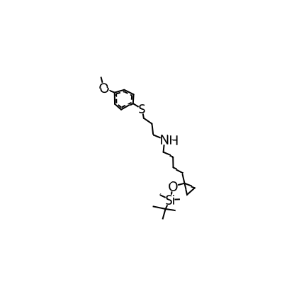 COc1ccc(SCCCNCCCCC2(O[Si](C)(C)C(C)(C)C)CC2)cc1